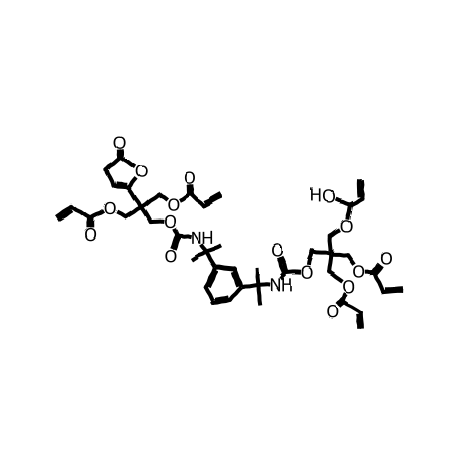 C=CC(=O)OCC(COC(=O)C=C)(COC(=O)NC(C)(C)c1cccc(C(C)(C)NC(=O)OCC(COC(=O)C=C)(COC(=O)C=C)C2=CCC(=O)O2)c1)COC(O)C=C